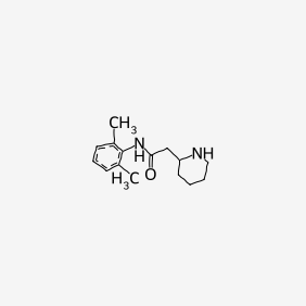 Cc1cccc(C)c1NC(=O)CC1CCCCN1